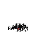 CC(CO)c1ccc(OC(=O)c2c(C(C)(C)O)cc(C(C)(C)O)cc2C(C)(C)O)cc1